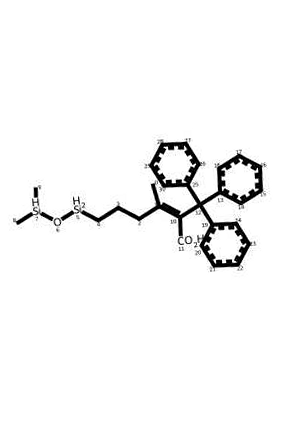 CC(CCC[SiH2]O[SiH](C)C)=C(C(=O)O)C(c1ccccc1)(c1ccccc1)c1ccccc1